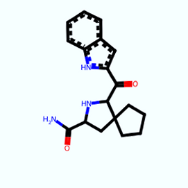 NC(=O)C1CC2(CCCC2)C(C(=O)c2cc3ccccc3[nH]2)N1